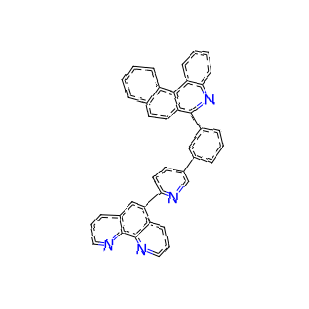 c1cc(-c2ccc(-c3cc4cccnc4c4ncccc34)nc2)cc(-c2nc3ccccc3c3c2ccc2ccccc23)c1